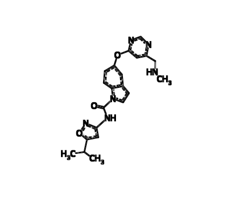 CNCc1cc(Oc2ccc3c(ccn3C(=O)Nc3cc(C(C)C)on3)c2)ncn1